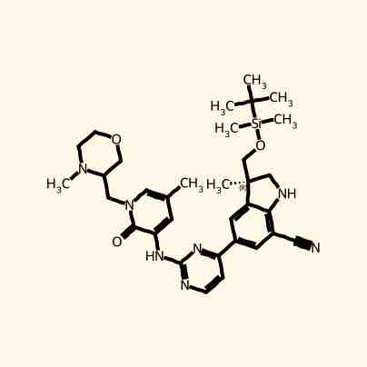 Cc1cc(Nc2nccc(-c3cc(C#N)c4c(c3)[C@@](C)(CO[Si](C)(C)C(C)(C)C)CN4)n2)c(=O)n(CC2COCCN2C)c1